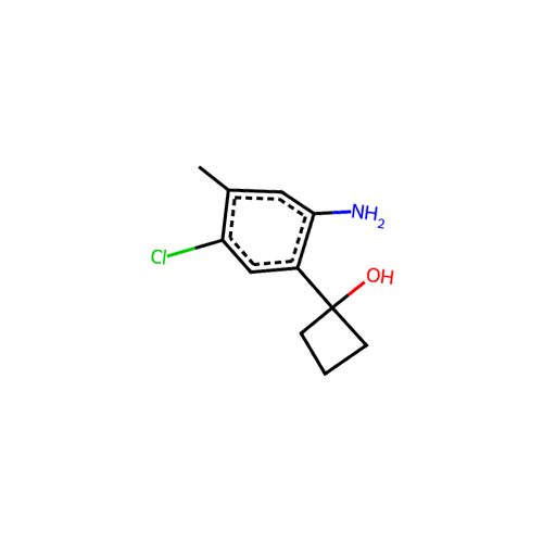 Cc1cc(N)c(C2(O)CCC2)cc1Cl